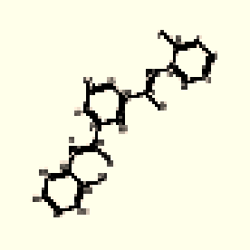 C/C(=N\c1ccccc1C)c1cncc(/C(C)=N/c2ccccc2C)n1